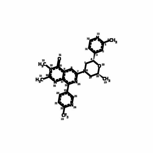 Cc1cc([C@H]2CN(c3cc4c(=O)n(C)c(C)nc4c(-c4ccc(C(F)(F)F)nc4)n3)C[C@@H](C)O2)ccn1